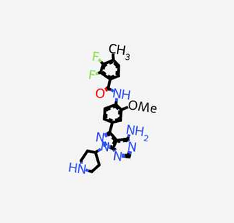 COc1cc(-c2nn(C3CCNCC3)c3ncnc(N)c23)ccc1NC(=O)c1ccc(C)c(F)c1F